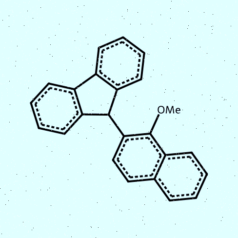 COc1c(C2c3ccccc3-c3ccccc32)ccc2ccccc12